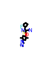 Cc1cc(Oc2snc(-c3ccccc3F)c2C#N)c(C)cc1N=CN(C)C